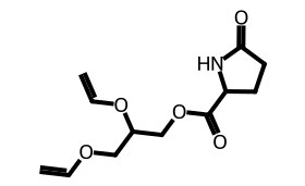 C=COCC(COC(=O)C1CCC(=O)N1)OC=C